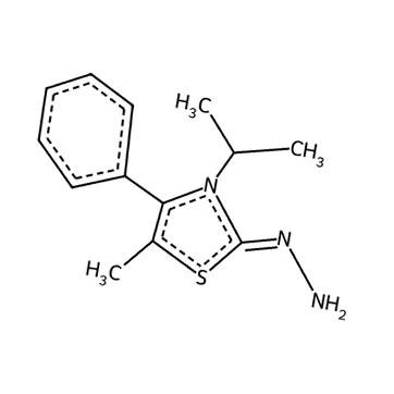 Cc1sc(=NN)n(C(C)C)c1-c1ccccc1